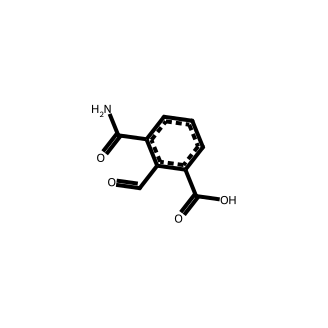 NC(=O)c1cccc(C(=O)O)c1C=O